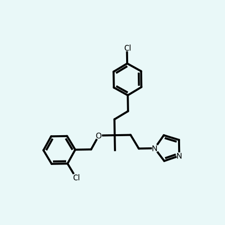 CC(CCc1ccc(Cl)cc1)(CCn1ccnc1)OCc1ccccc1Cl